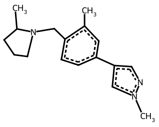 Cc1cc(-c2cnn(C)c2)ccc1CN1CCCC1C